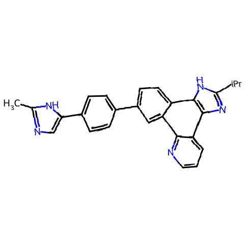 Cc1ncc(-c2ccc(-c3ccc4c(c3)c3ncccc3c3nc(C(C)C)[nH]c43)cc2)[nH]1